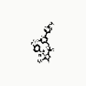 CC1C(F)CC(C(=O)NCc2cc(-c3cnc(C(F)(F)F)nc3)nc(C(F)(F)F)c2)N1S(=O)(=O)c1ccc(F)cc1